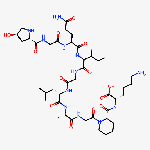 CCC(C)[C@H](NC(=O)[C@H](CCC(N)=O)NC(=O)CNC(=O)[C@@H]1C[C@@H](O)CN1)C(=O)NCC(=O)N[C@@H](CC(C)C)C(=O)N[C@@H](C)C(=O)NCC(=O)N1CCCC[C@H]1C(=O)N[C@@H](CCCCN)C(=O)O